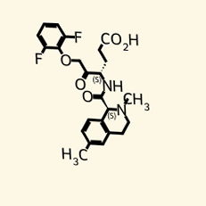 Cc1ccc2c(c1)CCN(C)[C@@H]2C(=O)N[C@@H](CCC(=O)O)C(=O)COc1c(F)cccc1F